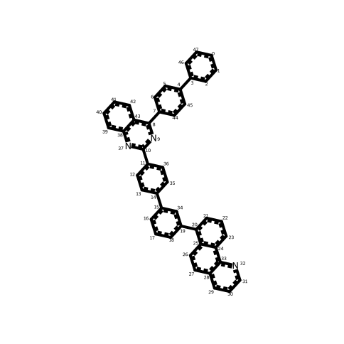 c1ccc(-c2ccc(-c3nc(-c4ccc(-c5cccc(-c6cccc7c6ccc6cccnc67)c5)cc4)nc4ccccc34)cc2)cc1